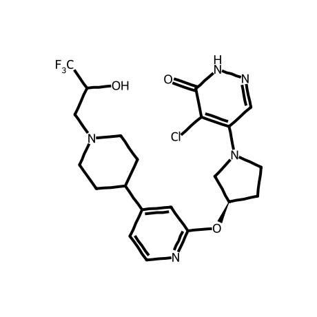 O=c1[nH]ncc(N2CC[C@@H](Oc3cc(C4CCN(CC(O)C(F)(F)F)CC4)ccn3)C2)c1Cl